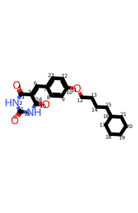 O=C1NC(=O)C(=Cc2ccc(OCCCCC3CCCCC3)cc2)C(=O)N1